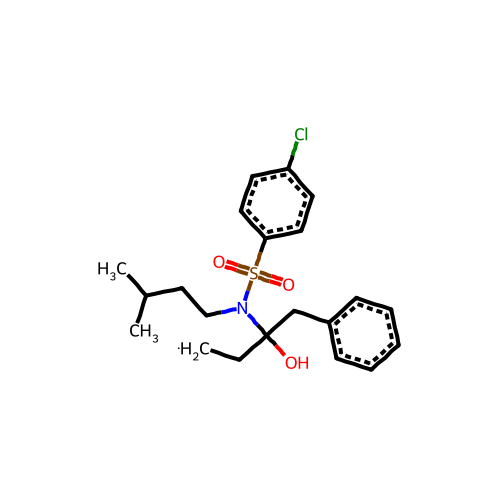 [CH2]CC(O)(Cc1ccccc1)N(CCC(C)C)S(=O)(=O)c1ccc(Cl)cc1